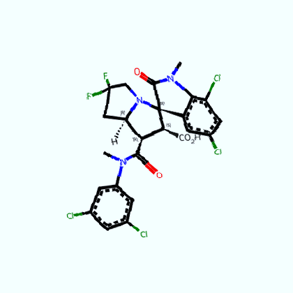 CN(C(=O)[C@H]1[C@H]2CC(F)(F)CN2[C@]2(C(=O)N(C)c3c(Cl)cc(Cl)cc32)[C@H]1C(=O)O)c1cc(Cl)cc(Cl)c1